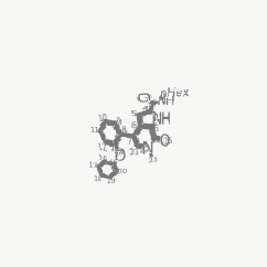 CCCCCCNC(=O)c1cc2c(-c3ccccc3Oc3ccccc3)cn(C)c(=O)c2[nH]1